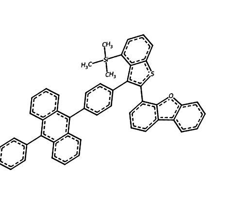 C[Si](C)(C)c1cccc2sc(-c3cccc4c3oc3ccccc34)c(-c3ccc(-c4c5ccccc5c(-c5ccccc5)c5ccccc45)cc3)c12